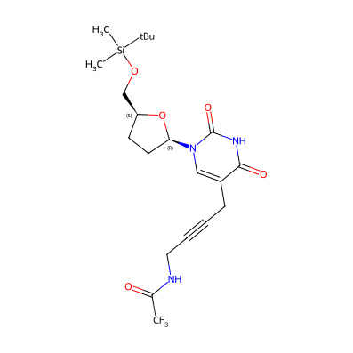 CC(C)(C)[Si](C)(C)OC[C@@H]1CC[C@H](n2cc(CC#CCNC(=O)C(F)(F)F)c(=O)[nH]c2=O)O1